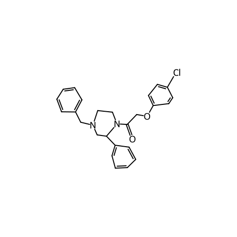 O=C(COc1ccc(Cl)cc1)N1CCN(Cc2ccccc2)CC1c1ccccc1